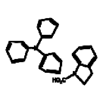 O=C(O)N1CCc2ccccc21.c1ccc(N(c2ccccc2)c2ccccc2)cc1